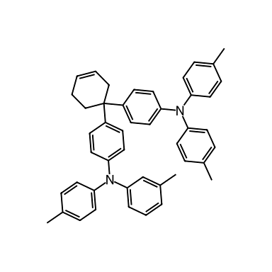 Cc1ccc(N(c2ccc(C)cc2)c2ccc(C3(c4ccc(N(c5ccc(C)cc5)c5cccc(C)c5)cc4)CC=CCC3)cc2)cc1